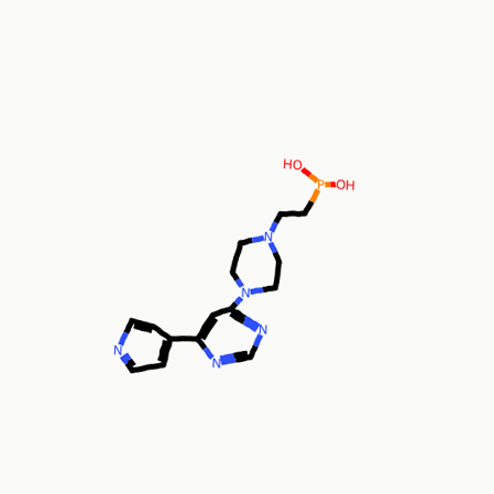 OP(O)CCN1CCN(c2cc(-c3ccncc3)ncn2)CC1